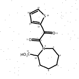 O=C(C(=O)N1CCCCCC1C(=O)O)c1cccs1